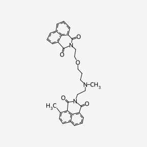 Cc1ccc2cccc3c2c1C(=O)N(CCN(C)CCCOCCN1C(=O)c2cccc4cccc(c24)C1=O)C3=O